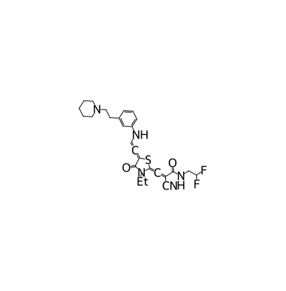 CCn1c(=C=C(C#N)C(=O)NCC(F)F)sc(=C=CNc2cccc(CCN3CCCCC3)c2)c1=O